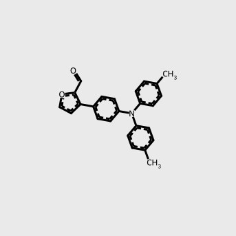 Cc1ccc(N(c2ccc(C)cc2)c2ccc(-c3ccoc3C=O)cc2)cc1